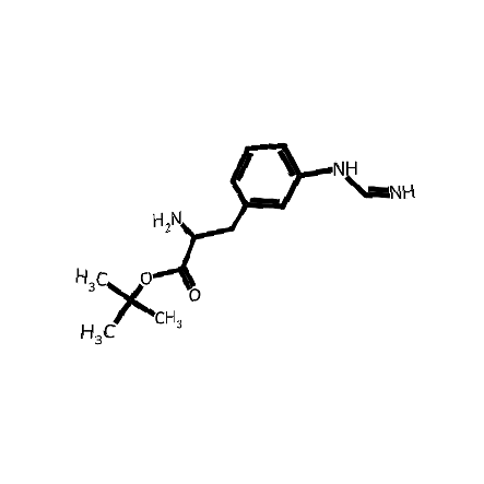 CC(C)(C)OC(=O)C(N)Cc1cccc(NC=N)c1